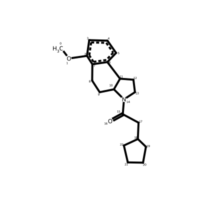 COc1cccc2c1CCC1C2CCN1C(=O)CC1CCCC1